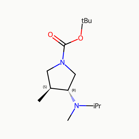 CC(C)N(C)[C@H]1CN(C(=O)OC(C)(C)C)C[C@@H]1C